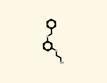 OCCOc1cccc(OCc2ccccc2)c1